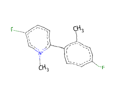 Cc1cc(F)ccc1-c1ccc(F)c[n+]1C